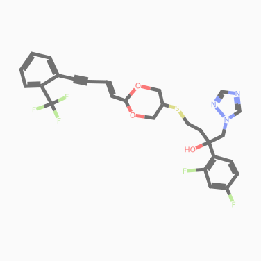 OC(CCSC1COC(C=CC#Cc2ccccc2C(F)(F)F)OC1)(Cn1cncn1)c1ccc(F)cc1F